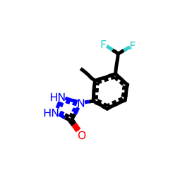 Cc1c(C(F)F)cccc1-n1[nH][nH]c1=O